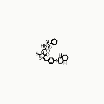 O=C(CN1C(=O)C(=Cc2ccc(N3CC[C@@H]4CCCC[C@H]4C3)cc2)SC1=S)NS(=O)(=O)c1ccccc1